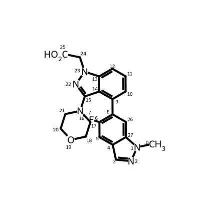 Cn1ncc2cc(F)c(-c3cccc4c3c(N3CCOCC3)nn4CC(=O)O)cc21